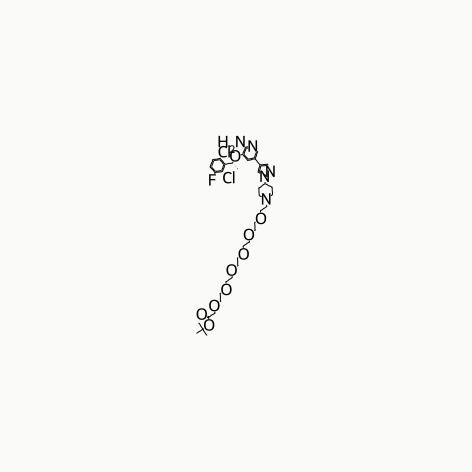 C[C@@H](Oc1cc(-c2cnn(C3CCN(CCOCCOCCOCCOCCOCCOCC(=O)OC(C)(C)C)CC3)c2)cnc1N)c1c(Cl)ccc(F)c1Cl